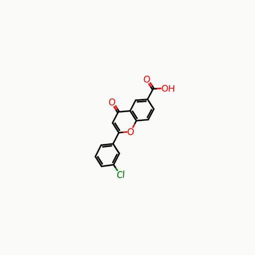 O=C(O)c1ccc2oc(-c3cccc(Cl)c3)cc(=O)c2c1